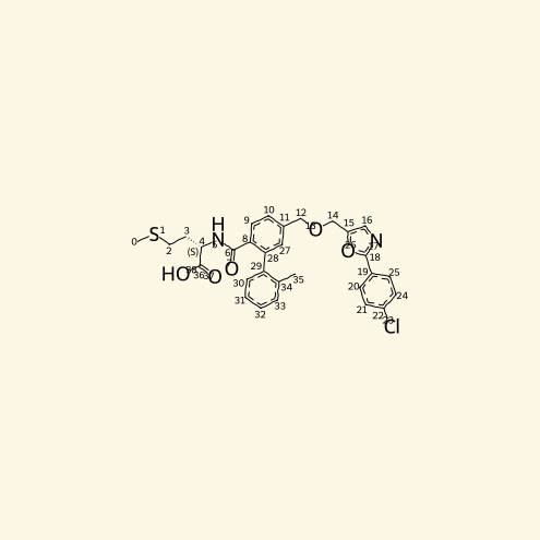 CSCC[C@H](NC(=O)c1ccc(COCc2cnc(-c3ccc(Cl)cc3)o2)cc1-c1ccccc1C)C(=O)O